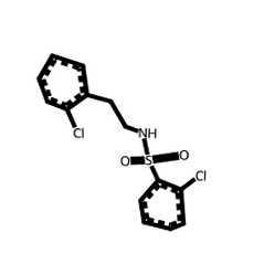 O=S(=O)(NCCc1ccccc1Cl)c1ccccc1Cl